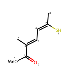 COC(=O)/C(C)=C/C=C(/C)S